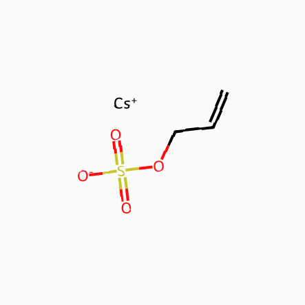 C=CCOS(=O)(=O)[O-].[Cs+]